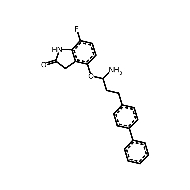 NC(CCc1ccc(-c2ccccc2)cc1)Oc1ccc(F)c2c1CC(=O)N2